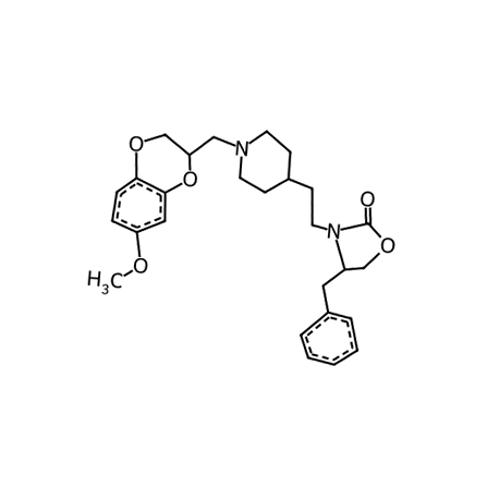 COc1ccc2c(c1)OC(CN1CCC(CCN3C(=O)OCC3Cc3ccccc3)CC1)CO2